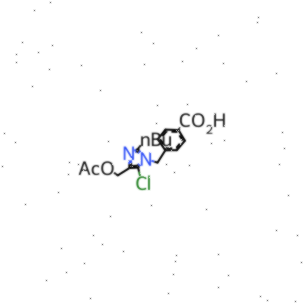 CCCCc1nc(COC(C)=O)c(Cl)n1Cc1ccc(C(=O)O)cc1